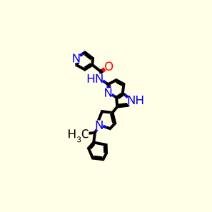 CC(c1ccccc1)N1CC=C(c2c[nH]c3ccc(NC(=O)c4ccncc4)nc23)CC1